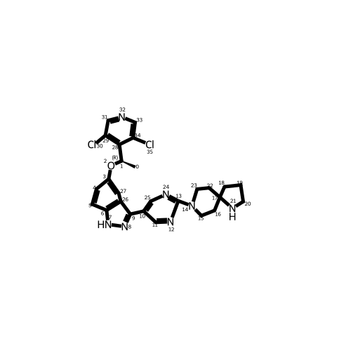 C[C@@H](Oc1ccc2[nH]nc(-c3cnc(N4CCC5(CCCN5)CC4)nc3)c2c1)c1c(Cl)cncc1Cl